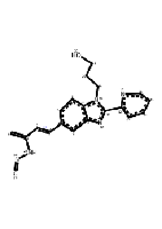 C=C(/C=C/c1ccc2c(c1)nc(-c1ccccn1)n2CCCO)NN=O